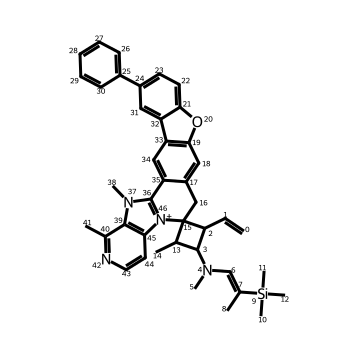 C=CC1C(N(C)/C=C(\C)[Si](C)(C)C)C(C)C12Cc1cc3oc4ccc(-c5ccccc5)cc4c3cc1-c1n(C)c3c(C)nccc3[n+]12